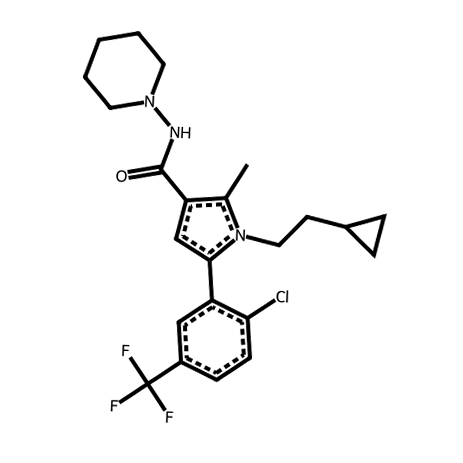 Cc1c(C(=O)NN2CCCCC2)cc(-c2cc(C(F)(F)F)ccc2Cl)n1CCC1CC1